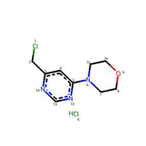 Cl.ClCc1cc(N2CCOCC2)ncn1